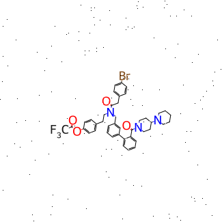 O=C(Cc1ccc(Br)cc1)N(CCc1ccc(OC(=O)C(F)(F)F)cc1)Cc1cccc(-c2ccccc2C(=O)N2CCC(N3CCCCC3)CC2)c1